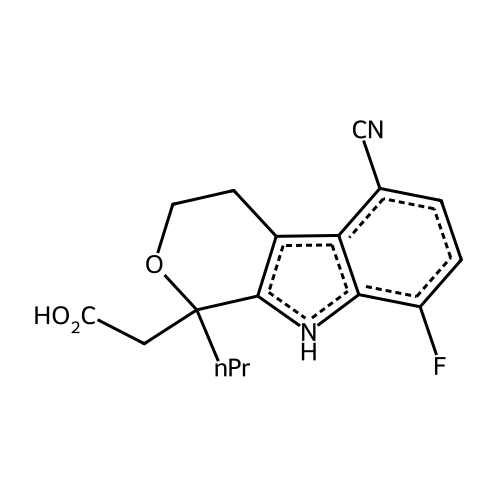 CCCC1(CC(=O)O)OCCc2c1[nH]c1c(F)ccc(C#N)c21